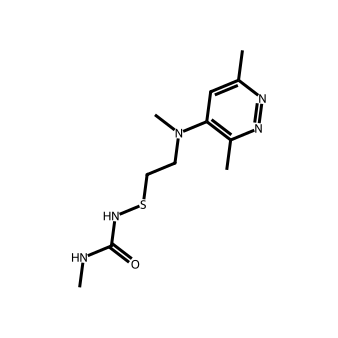 CNC(=O)NSCCN(C)c1cc(C)nnc1C